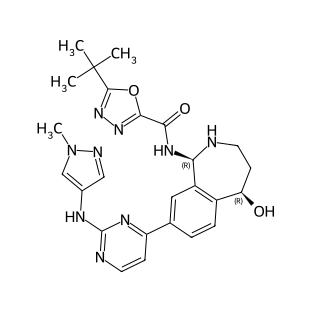 Cn1cc(Nc2nccc(-c3ccc4c(c3)[C@@H](NC(=O)c3nnc(C(C)(C)C)o3)NCC[C@H]4O)n2)cn1